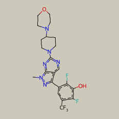 Cn1nc(-c2cc(C(F)(F)F)c(F)c(O)c2F)c2cnc(N3CCC(N4CCOCC4)CC3)nc21